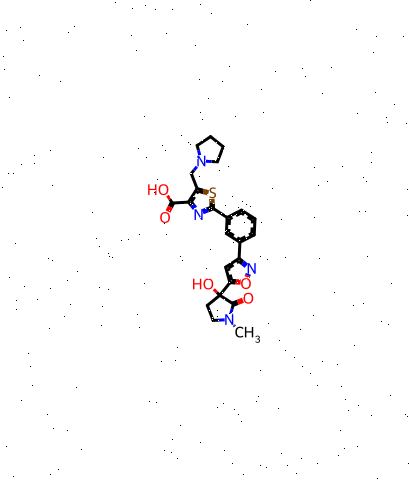 CN1CCC(O)(c2cc(-c3cccc(-c4nc(C(=O)O)c(CN5CCCC5)s4)c3)no2)C1=O